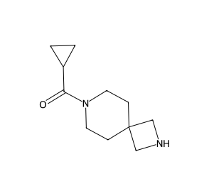 O=C(C1CC1)N1CCC2(CC1)CNC2